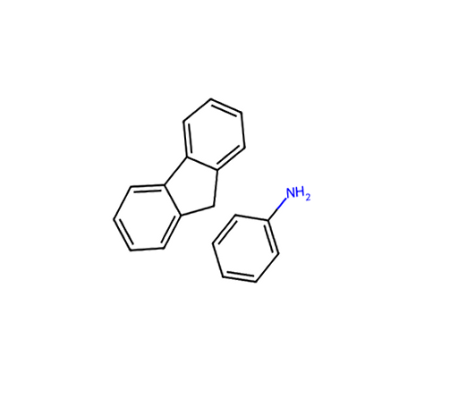 Nc1ccccc1.c1ccc2c(c1)Cc1ccccc1-2